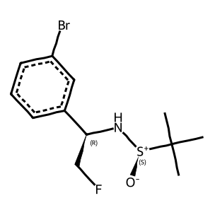 CC(C)(C)[S@@+]([O-])N[C@@H](CF)c1cccc(Br)c1